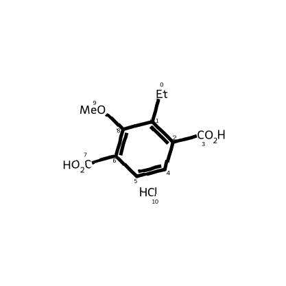 CCc1c(C(=O)O)ccc(C(=O)O)c1OC.Cl